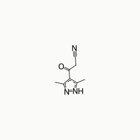 Cc1n[nH]c(C)c1C(=O)CC#N